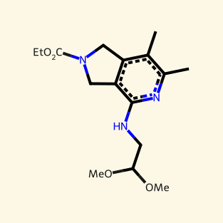 CCOC(=O)N1Cc2c(NCC(OC)OC)nc(C)c(C)c2C1